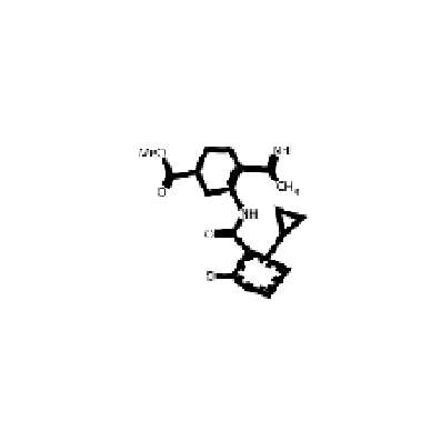 COC(=O)C1CCC(C(C)=N)=C(NC(=O)c2c(Cl)cccc2C2CC2)C1